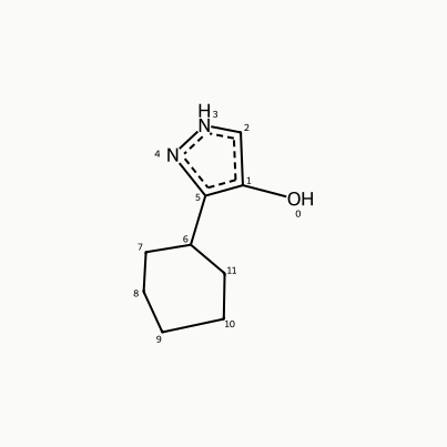 Oc1c[nH]nc1C1CCCCC1